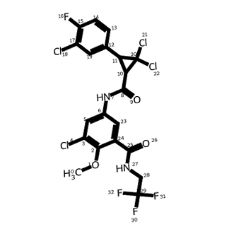 COc1c(Cl)cc(NC(=O)C2C(c3ccc(F)c(Cl)c3)C2(Cl)Cl)cc1C(=O)NCC(F)(F)F